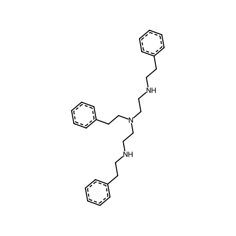 c1ccc(CCNCCN(CCNCCc2ccccc2)CCc2ccccc2)cc1